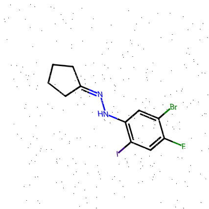 Fc1cc(I)c(NN=C2CCCC2)cc1Br